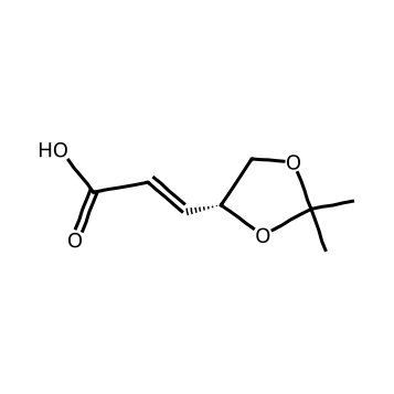 CC1(C)OC[C@@H](C=CC(=O)O)O1